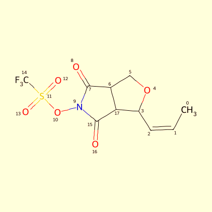 C/C=C\C1OCC2C(=O)N(OS(=O)(=O)C(F)(F)F)C(=O)C12